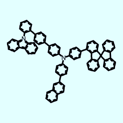 c1ccc(-n2c3ccccc3c3ccccc32)c(-c2ccc(-c3ccc(N(c4ccc(-c5ccc6ccccc6c5)cc4)c4ccc(-c5cccc6c5-c5ccccc5C65c6ccccc6-c6ccccc65)cc4)cc3)cc2)c1